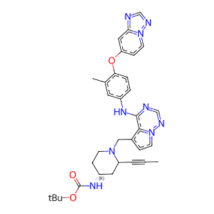 CC#CC1C[C@H](NC(=O)OC(C)(C)C)CCN1Cc1ccn2ncnc(Nc3ccc(Oc4ccn5ncnc5c4)c(C)c3)c12